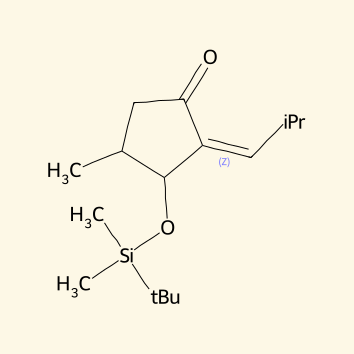 CC(C)/C=C1\C(=O)CC(C)C1O[Si](C)(C)C(C)(C)C